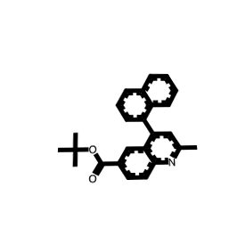 Cc1cc(-c2cccc3ccccc23)c2cc(C(=O)OC(C)(C)C)ccc2n1